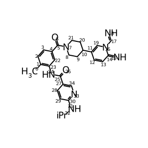 Cc1ccc(C(=O)N2CCC(c3ccc(=N)n(C=N)c3)CC2)cc1NC(=O)c1ccc(NC(C)C)nc1